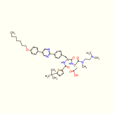 CCCCCCCOc1ccc(-c2cnc(-c3ccc(C[C@H](NC(=O)c4ccc(C(C)(C)C)s4)C(=O)N[C@@H](CC(=O)O)C(=O)N(C)CCN(C)C)cc3)nc2)cc1